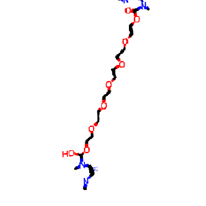 C=N/C=C\N(C)C(=O)OCCOCCOCCOCCOCCOCCOC(O)N(C)/C=C\N=C